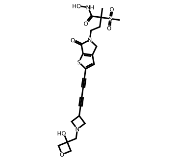 CC(CCN1Cc2cc(C#CC#CC3CN(CC4(O)COC4)C3)sc2C1=O)(C(=O)NO)S(C)(=O)=O